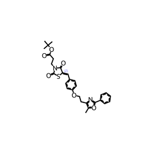 Cc1oc(-c2ccccc2)nc1CCOc1ccc(/C=C2\SC(=O)N(CCC(=O)OC(C)(C)C)C2=O)cc1